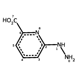 NNc1cccc(C(=O)O)n1